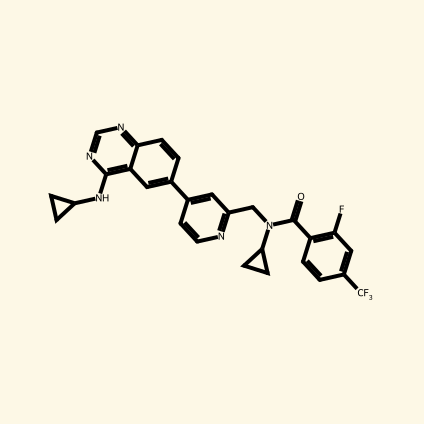 O=C(c1ccc(C(F)(F)F)cc1F)N(Cc1cc(-c2ccc3ncnc(NC4CC4)c3c2)ccn1)C1CC1